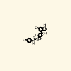 O=C(Nc1ccc(Cl)cc1)NC1[C@H]2CC(O)(c3cc(Cl)cc4[nH]ncc34)C[C@@H]12